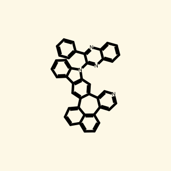 c1ccc(-c2nc3ccccc3nc2-n2c3ccccc3c3cc4c(cc32)-c2cnccc2-c2cccc3cccc-4c23)cc1